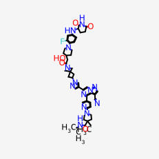 CCC1(C(=O)NC(C)C)CCN(c2ccc(-c3nc(-c4cnn(C5CC6(C5)CN(C(=O)CC5(O)CCN(c7ccc(NC8CCC(=O)NC8=O)cc7F)CC5)C6)c4)cn4ncc(C#N)c34)cn2)CC1